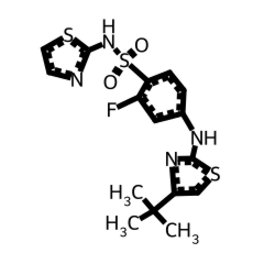 CC(C)(C)c1csc(Nc2ccc(S(=O)(=O)Nc3nccs3)c(F)c2)n1